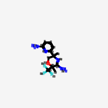 CC1(c2cccc(N)n2)COC(C)(C(F)(F)F)C(N)=N1